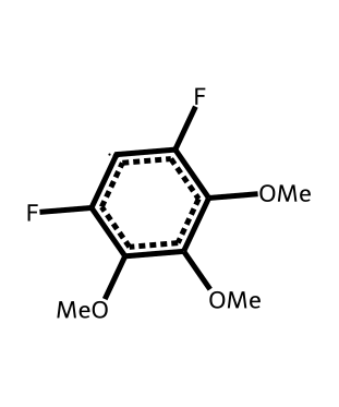 COc1c(F)[c]c(F)c(OC)c1OC